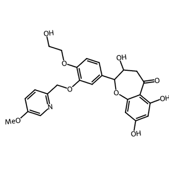 COc1ccc(COc2cc(C3Oc4cc(O)cc(O)c4C(=O)CC3O)ccc2OCCO)nc1